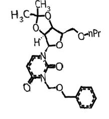 CCCOC[C@H]1O[C@@H](n2ccc(=O)n(COCc3ccccc3)c2=O)[C@H]2OC(C)(C)OC12